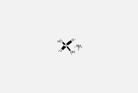 N.O=S(=O)(O)O.[V]